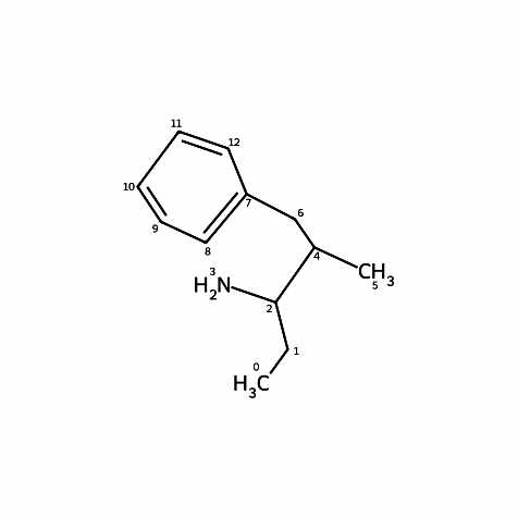 CCC(N)C(C)Cc1ccccc1